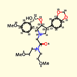 COCCN(CCOC)C(=O)CN1C[C@H](c2ccc3c(c2)OCO3)[C@H](OC(=O)O)[C@H]1c1ccc(OC)cc1